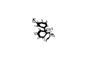 COc1cccc(C2(O)CCCCC2CN(C)I)c1